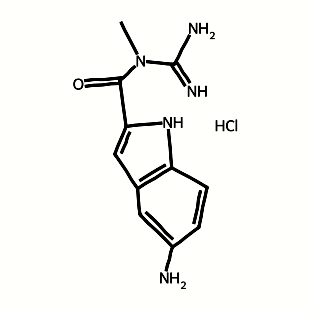 CN(C(=N)N)C(=O)c1cc2cc(N)ccc2[nH]1.Cl